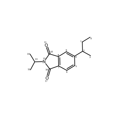 CCC(C)c1ccc2c(c1)C(=O)N(C(C)C)C2=O